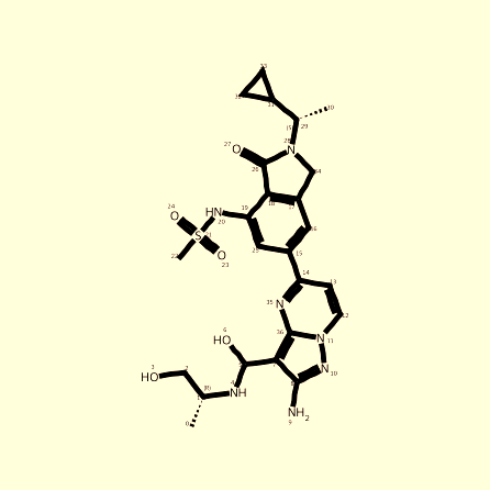 C[C@H](CO)NC(O)c1c(N)nn2ccc(-c3cc4c(c(NS(C)(=O)=O)c3)C(=O)N([C@@H](C)C3CC3)C4)nc12